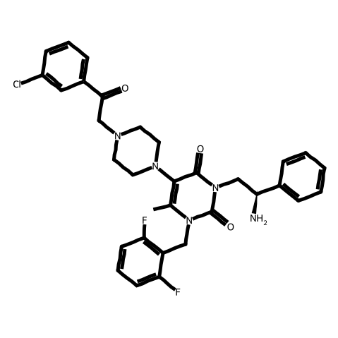 Cc1c(N2CCN(CC(=O)c3cccc(Cl)c3)CC2)c(=O)n(C[C@H](N)c2ccccc2)c(=O)n1Cc1c(F)cccc1F